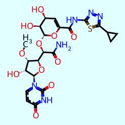 CO[C@H]1[C@@H](O)[C@H](n2ccc(=O)[nH]c2=O)O[C@@H]1[C@@H](O[C@H]1OC(C(=O)Nc2nnc(C3CC3)s2)=C[C@H](O)[C@@H]1O)C(N)=O